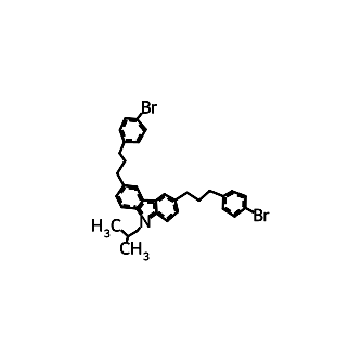 CC(C)Cn1c2ccc(CCCc3ccc(Br)cc3)cc2c2cc(CCCc3ccc(Br)cc3)ccc21